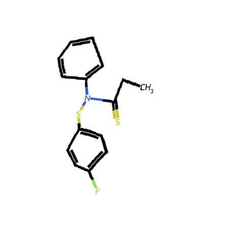 CCC(=S)N(Sc1ccc(F)cc1)c1ccccc1